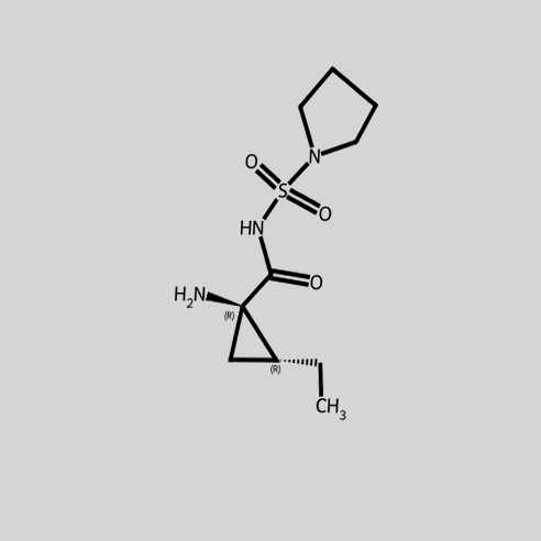 CC[C@@H]1C[C@]1(N)C(=O)NS(=O)(=O)N1CCCC1